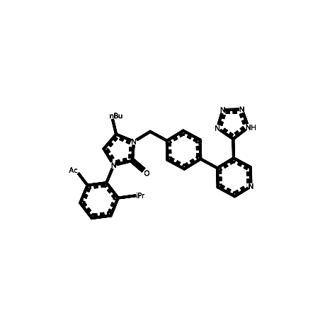 CCCCc1cn(-c2c(C(C)=O)cccc2C(C)C)c(=O)n1Cc1ccc(-c2ccncc2-c2nnn[nH]2)cc1